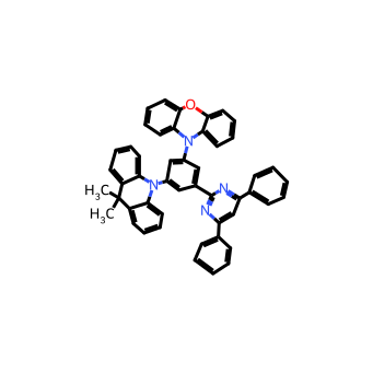 CC1(C)c2ccccc2N(c2cc(-c3nc(-c4ccccc4)cc(-c4ccccc4)n3)cc(N3c4ccccc4Oc4ccccc43)c2)c2ccccc21